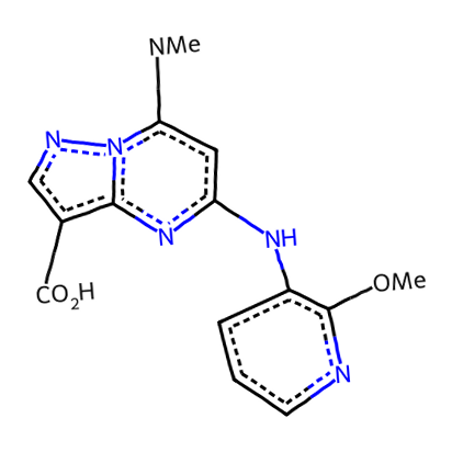 CNc1cc(Nc2cccnc2OC)nc2c(C(=O)O)cnn12